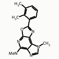 CNc1nc2oc(-c3cccc(C)c3C)nc2c2c1ncn2C